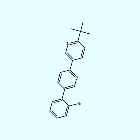 CC(C)(C)c1ccc(-c2ccc(-c3ccccc3Br)cn2)cn1